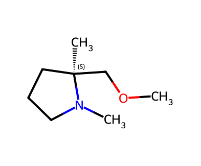 COC[C@]1(C)CCCN1C